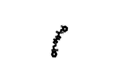 CC1(c2nc(C(=O)NCc3ncccc3F)cs2)CN(CCc2nc3ccccc3[nH]2)C1